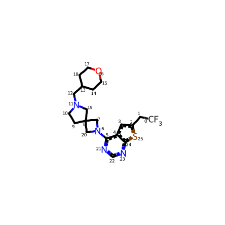 FC(F)(F)Cc1cc2c(N3CC4(CCN(CC5CCOCC5)C4)C3)ncnc2s1